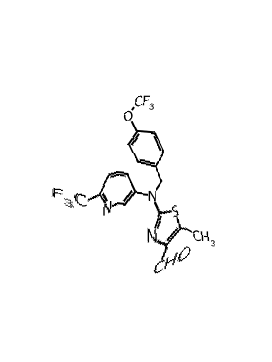 Cc1sc(N(Cc2ccc(OC(F)(F)F)cc2)c2ccc(C(F)(F)F)nc2)nc1C=O